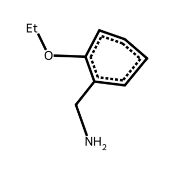 CCOc1ccccc1CN